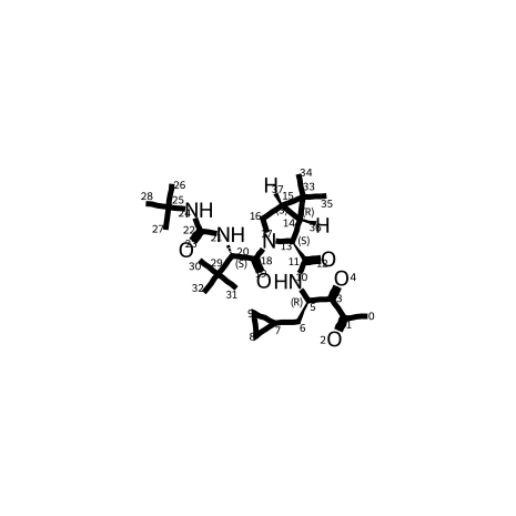 CC(=O)C(=O)[C@@H](CC1CC1)NC(=O)[C@@H]1[C@@H]2[C@H](CN1C(=O)[C@@H](NC(=O)NC(C)(C)C)C(C)(C)C)C2(C)C